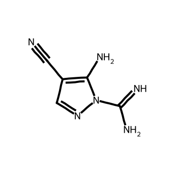 N#Cc1cnn(C(=N)N)c1N